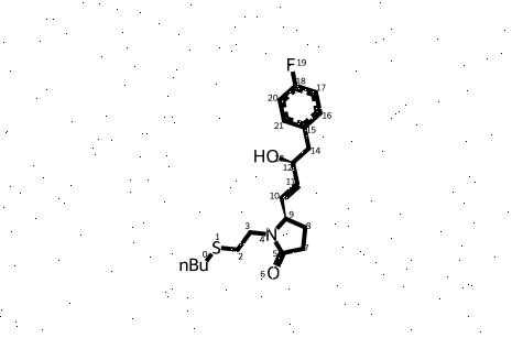 CCCCSCCN1C(=O)CC[C@@H]1/C=C/[C@@H](O)Cc1ccc(F)cc1